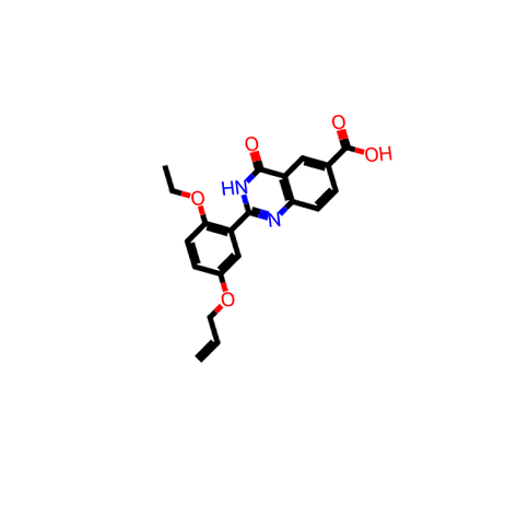 C=CCOc1ccc(OCC)c(-c2nc3ccc(C(=O)O)cc3c(=O)[nH]2)c1